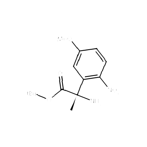 COc1ccc([N+](=O)[O-])c([C@](C)(N)C(=O)OC(C)(C)C)c1